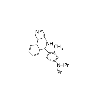 Cc1cc(N(C(C)C)C(C)C)ccc1C1NC2=CC=NCC2C2C=CC=CC12